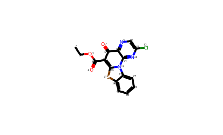 CCOC(=O)c1c(=O)c2ncc(Cl)nc2n2c1sc1ccccc12